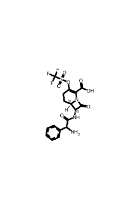 NC(C(=O)N[C@@H]1C(=O)N2C(C(=O)O)=C(OS(=O)(=O)C(F)(F)F)CC[C@H]12)c1ccccc1